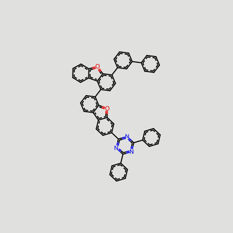 c1ccc(-c2cccc(-c3ccc(-c4cccc5c4oc4cc(-c6nc(-c7ccccc7)nc(-c7ccccc7)n6)ccc45)c4c3oc3ccccc34)c2)cc1